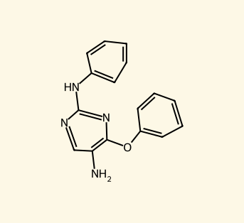 Nc1cnc(Nc2ccccc2)nc1Oc1ccccc1